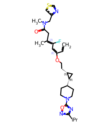 C=C/C(=C\C(F)=C(/C)CC(=O)N(C)Cc1cscn1)OCC[C@@H]1C[C@@H]1C1CCN(c2nc(C(C)C)no2)CC1